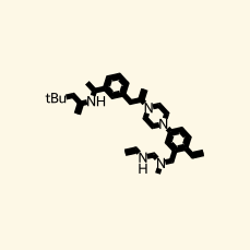 C=CNCN(C)Cc1cc(N2CCN(C(=C)Cc3cccc(C(C)NC(=C)CC(C)(C)C)c3)CC2)ccc1C=C